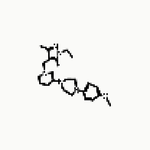 CCn1nc(C)c(CN2CCCC(N3CCN(c4ccc(OC)cc4)CC3)C2)c1C